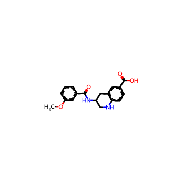 COc1cccc(C(=O)NC2CNc3ccc(C(=O)O)cc3C2)c1